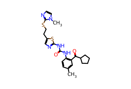 Cc1ccc(NC(=O)Nc2ncc(CCSc3nccn3C)s2)c(C(=O)C2CCCC2)c1